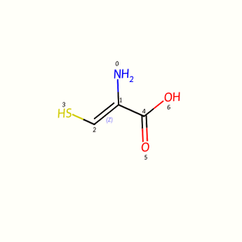 N/C(=C\S)C(=O)O